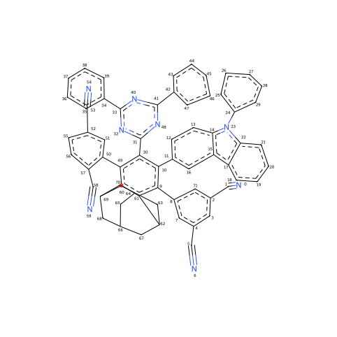 N#Cc1cc(C#N)cc(-c2c(-c3ccc4c(c3)c3ccccc3n4-c3ccccc3)c(-c3nc(-c4ccccc4)nc(-c4ccccc4)n3)c(-c3cc(C#N)ccc3C#N)c3c2C2CC4CC(C2)CC3C4)c1